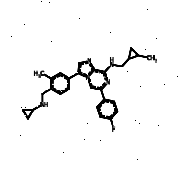 Cc1cc(-c2cnc3c(NCC4CC4C)nc(-c4ccc(F)cc4)cn23)ccc1CNC1CC1